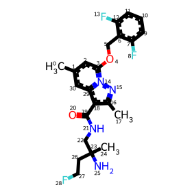 Cc1cc(OCc2c(F)cccc2F)n2nc(C)c(C(=O)NCC(C)(N)CCF)c2c1